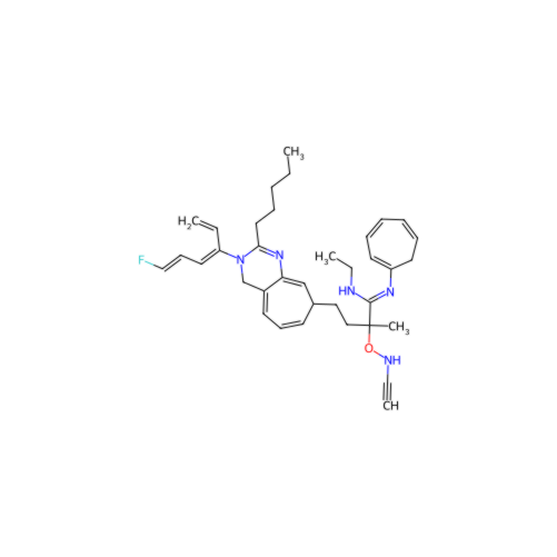 C#CNOC(C)(CCC1C=CC=C2CN(/C(C=C)=C/C=C/F)C(CCCCC)=NC2=C1)/C(=N/C1=CC=CC=CC1)NCC